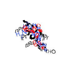 C=C/C=C(\C=C)C[C@@H](C(=O)N[C@@H](COCCC)C(=O)N(C)[C@@H](CC(C)C)C(N)=O)N(C)C(=O)CN(C)C(=O)CC(NC(=O)[C@H](CC(C)C)N(C)C(=O)[C@H](COC(C)(C)C)NC(=O)[C@H](CC(C)C)N(C)C(=O)[C@H](C)N(C)C(=O)CN(C)C=O)C(=O)N1CCCCC1